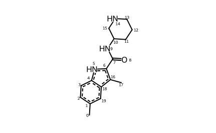 Cc1ccc2[nH]c(C(=O)NC3CCCNC3)c(C)c2c1